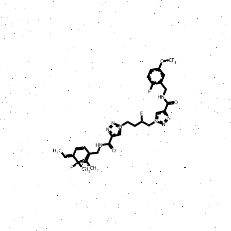 C\C=C(/C=C\C(CNC(=O)c1cn(CCC(F)Cn2cc(C(=O)NCc3cc(OC(F)(F)F)ccc3F)nn2)nn1)=C(\C)CC)C(C)(F)F